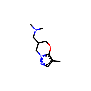 Cc1cnn2c1OCC(CN(C)C)C2